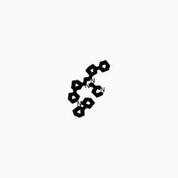 c1ccc(-c2cccc(-c3cc(-c4cccc(-c5cccc(-n6c7ccccc7c7ccccc76)c5)c4)nc(-c4cccnc4)n3)c2)cc1